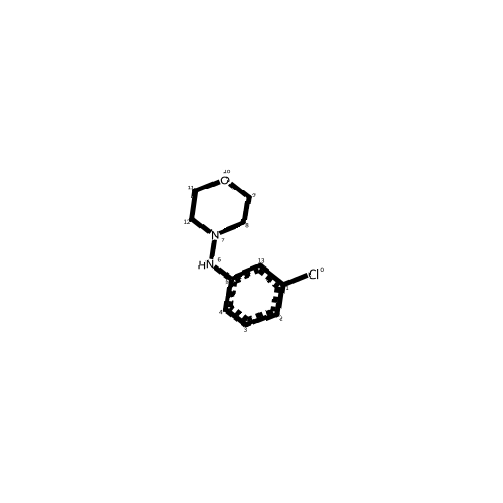 Clc1cccc(NN2CCOCC2)c1